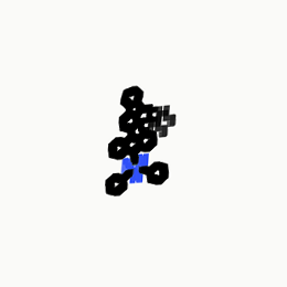 C/C=C1/c2ccccc2C2=CC=C(c3c4ccccc4c(-c4nc(-c5ccccc5)nc(C5C=CC=CC5)n4)c4ccccc34)C(C)C21